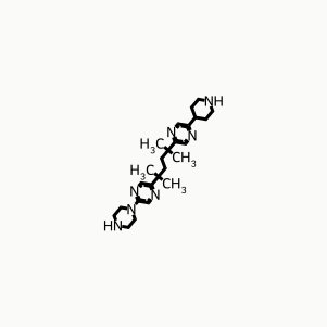 CC(C)(CCC(C)(C)c1cnc(N2CCNCC2)cn1)c1cnc(C2CCNCC2)cn1